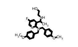 COc1ccc(CN(Cc2ccc(OC)cc2)c2ncc(F)cc2C(C)NCCO)cc1